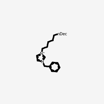 CCCCCCCCCCCCCCC[n+]1ccn(Cc2ccccc2)c1